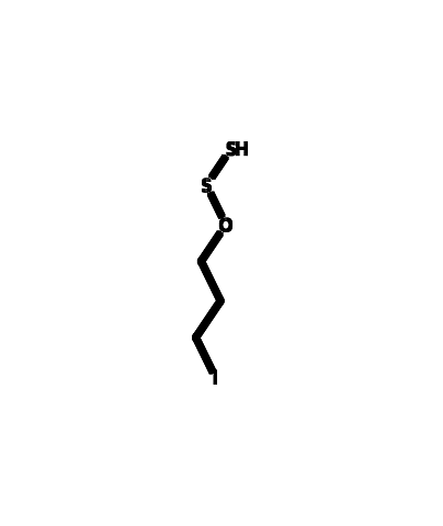 SSOCCCI